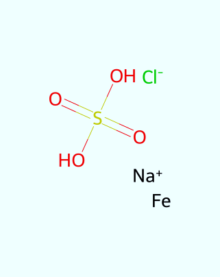 O=S(=O)(O)O.[Cl-].[Fe].[Na+]